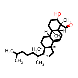 CC(C)CCC[C@@H](C)[C@H]1CC[C@H]2C3=CC[C@H]4[C@](C)(C=O)[C@@H](O)CC[C@]4(C)[C@H]3CC[C@]12C